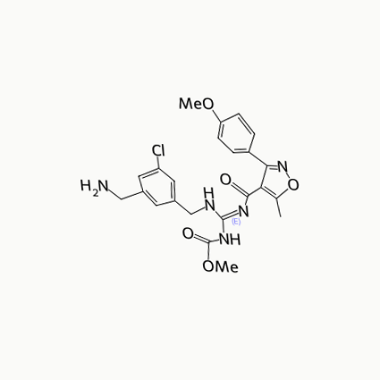 COC(=O)N/C(=N/C(=O)c1c(-c2ccc(OC)cc2)noc1C)NCc1cc(Cl)cc(CN)c1